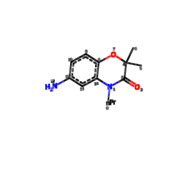 CCCN1C(=O)C(C)(C)Oc2ccc(N)cc21